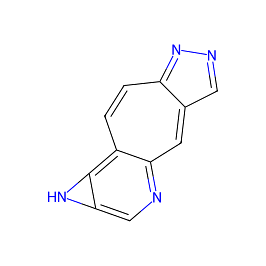 c1nnc2ccc3c4c(cnc3cc1-2)N4